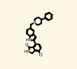 O=C1NCc2c(Cl)ccc(-c3cc4cc(CN5CCC(c6ccccc6)CC5)ccc4[nH]3)c21